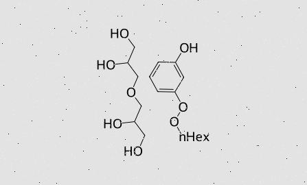 CCCCCCOOc1cccc(O)c1.OCC(O)COCC(O)CO